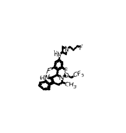 CC1Cc2c([nH]c3ccccc23)C(c2c(F)cc(NC3CN(CCCF)C3)cc2F)N1OCC(F)(F)F